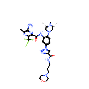 Cc1nc(C(F)(F)F)c(C(=O)Nc2cc(-n3cc(C(=O)NCCCN4CCOCC4)nn3)ccc2N2C[C@@H](C)N(C)[C@@H](C)C2)nc1N